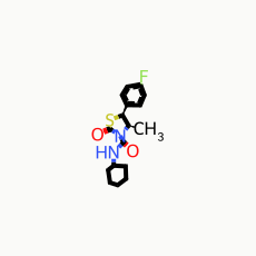 C[C@H]1[C@H](c2ccc(F)cc2)SC(=O)N1C(=O)NC1CCCCC1